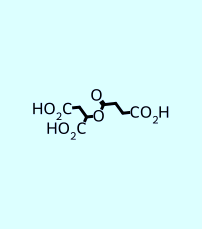 O=C(O)CCC(=O)OC(CC(=O)O)C(=O)O